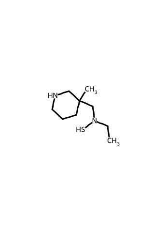 CCN(S)CC1(C)CCCNC1